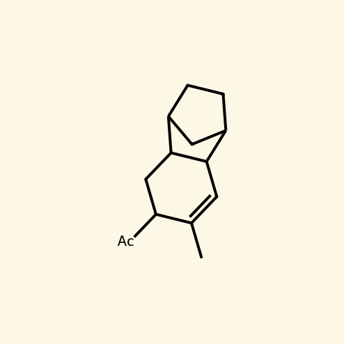 CC(=O)C1CC2C3CCC(C3)C2C=C1C